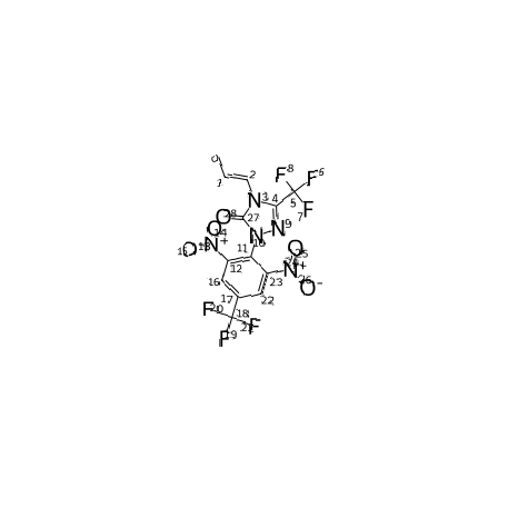 CC=Cn1c(C(F)(F)F)nn(-c2c([N+](=O)[O-])cc(C(F)(F)F)cc2[N+](=O)[O-])c1=O